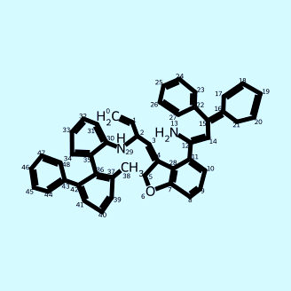 C=CC(/C=C1\COc2cccc(/C(N)=C/C(=C3/C=CC=CC3)c3ccccc3)c21)Nc1ccccc1-c1c(C)cccc1-c1ccccc1